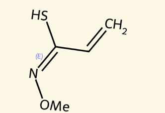 C=C/C(S)=N\OC